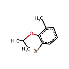 Cc1cccc(Br)c1OC(C)C